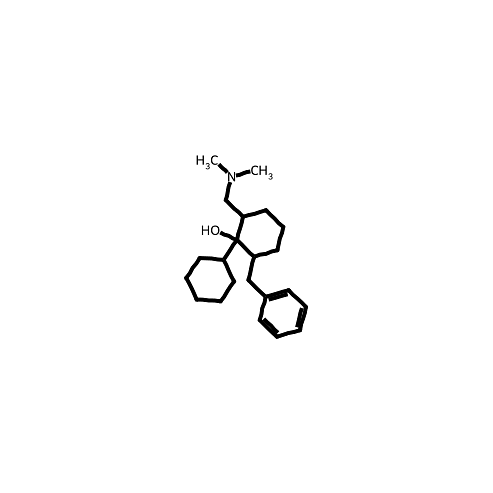 CN(C)CC1CCCC(Cc2ccccc2)C1(O)C1CCCCC1